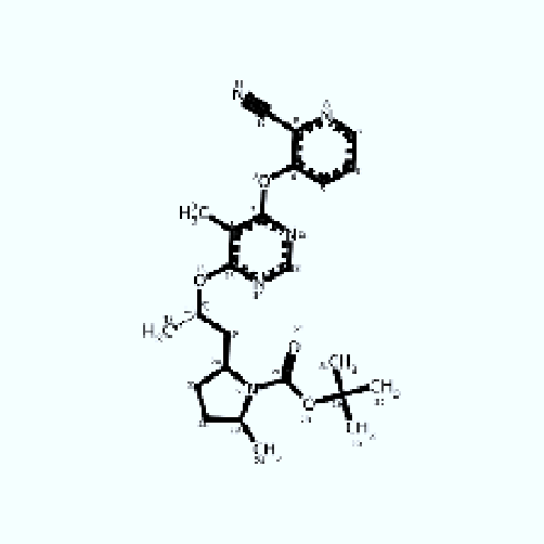 Cc1c(Oc2cccnc2C#N)ncnc1O[C@@H](C)CC1CCC(C)N1C(=O)OC(C)(C)C